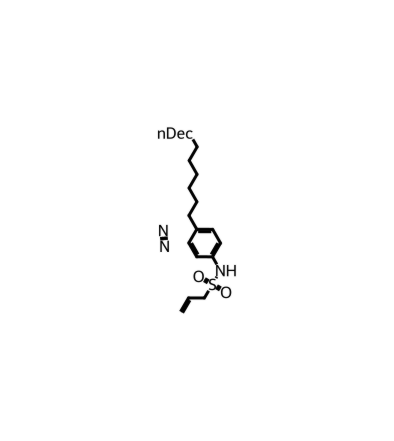 C=CCS(=O)(=O)Nc1ccc(CCCCCCCCCCCCCCCC)cc1.N#N